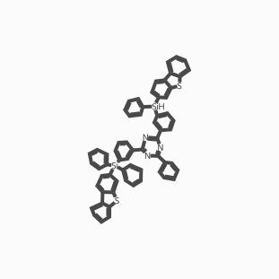 c1ccc(-c2nc(-c3cccc([SiH](c4ccccc4)c4ccc5c(c4)sc4ccccc45)c3)nc(-c3cccc([Si](c4ccccc4)(c4ccccc4)c4ccc5c(c4)sc4ccccc45)c3)n2)cc1